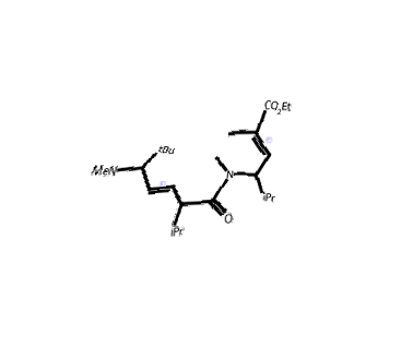 CCOC(=O)/C(C)=C/C(C(C)C)N(C)C(=O)C(/C=C/C(NC)C(C)(C)C)C(C)C